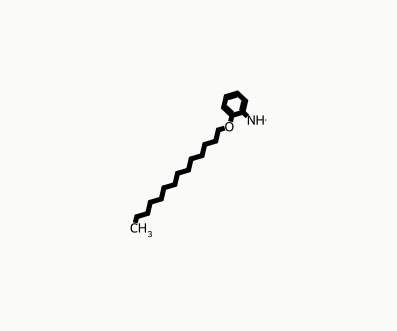 CCCCCCCCCCCCCCOc1ccccc1[NH]